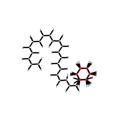 II(I)I(I)I(I)I(I)I(I)I(I)I(I)I(I)I(I)I(I)I(I)I(I)I(I)I(I)I(I)I(I)I(I)I(I)I(I)I(I)I(I)I(I)I(I)I(I)I(I)I(I)I(I)I(I)I(I)I(I)I(I)I(I)I(I)I(I)I(I)I(I)I(I)I(I)I(I)I(I)I(I)I